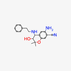 CC1(C)Oc2cc(C#N)c(N)cc2C(NCCc2ccccc2)C1O